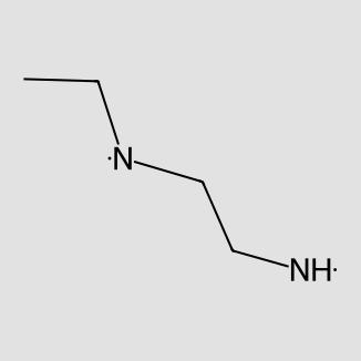 CC[N]CC[NH]